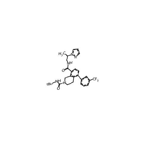 CC(CNC(=O)c1ccc(-c2cccc(C(F)(F)F)c2)c2c1CN(C(=O)NC(C)(C)C)CC2)n1cccn1